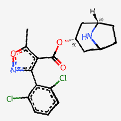 Cc1onc(-c2c(Cl)cccc2Cl)c1C(=O)O[C@H]1CC2CC[C@@H](C1)N2